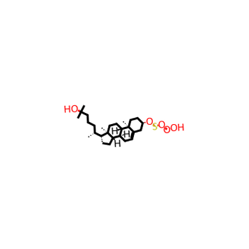 C[C@H](CCCC(C)(C)O)[C@H]1CC[C@H]2[C@@H]3CC=C4C[C@@H](OSOOO)CC[C@]4(C)[C@H]3CC[C@]12C